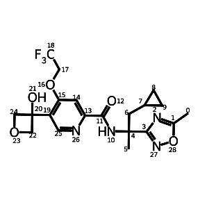 Cc1nc(C(C)(CC2CC2)NC(=O)c2cc(OCC(F)(F)F)c(C3(O)COC3)cn2)no1